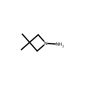 CC1(C)CN(N)C1